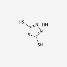 Sc1nnc(S)s1.[LiH]